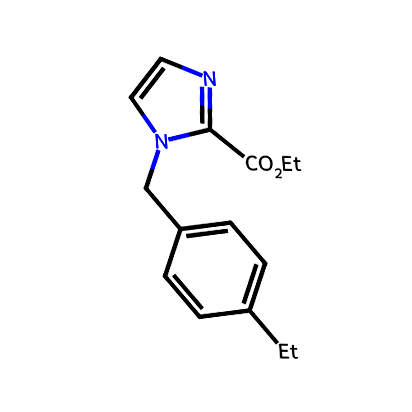 CCOC(=O)c1nccn1Cc1ccc(CC)cc1